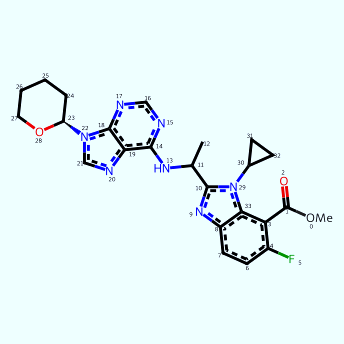 COC(=O)c1c(F)ccc2nc(C(C)Nc3ncnc4c3ncn4[C@@H]3CCCCO3)n(C3CC3)c12